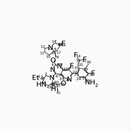 CC[C@@H]1CN2c3nc(OC[C@@]45CCCN4C[C@H](F)C5)nc4c(F)c(-c5cc(N)c(F)c(C)c5CC(F)F)nc(c34)O[C@@H](C)[C@@H]2CN1